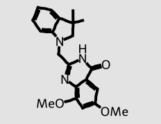 COc1cc(OC)c2nc(CN3CC(C)(C)c4ccccc43)[nH]c(=O)c2c1